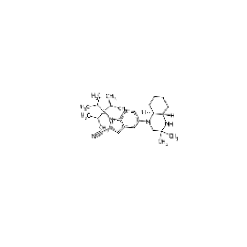 CC(C)S(C(C)C)(C(C)C)n1c(C#N)cc2cc(N3CC(C)(C)N[C@H]4CCCC[C@@H]43)ccc21